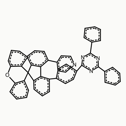 c1ccc(-c2nc(-c3ccccc3)nc(-c3ccc(-c4cccc5c4-c4c(-c6ccncc6)cccc4C54c5ccccc5Oc5ccccc54)cc3)n2)cc1